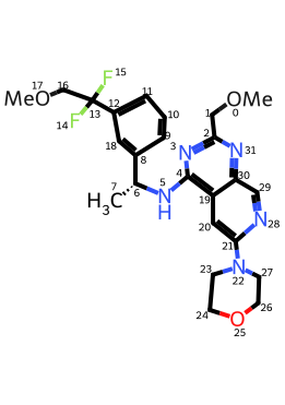 COCc1nc(N[C@H](C)c2cccc(C(F)(F)COC)c2)c2cc(N3CCOCC3)ncc2n1